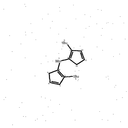 CC(C)(C)C1=[C]([Mn][C]2=C(C(C)(C)C)C=CC2)CC=C1